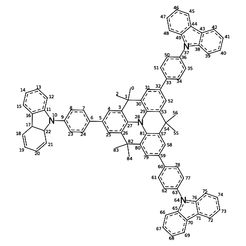 CC1(C)c2cc(-c3ccc(N4c5ccccc5C5C=CC=CC54)cc3)cc3c2N2c4c1cc(-c1ccc(-n5c6ccccc6c6ccccc65)cc1)cc4C(C)(C)c1cc(-c4ccc(-n5c6ccccc6c6ccccc65)cc4)cc(c12)C3(C)C